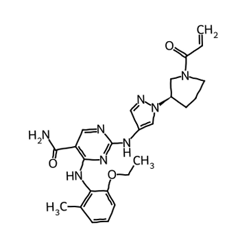 C=CC(=O)N1CCC[C@@H](n2cc(Nc3ncc(C(N)=O)c(Nc4c(C)cccc4OCC)n3)cn2)C1